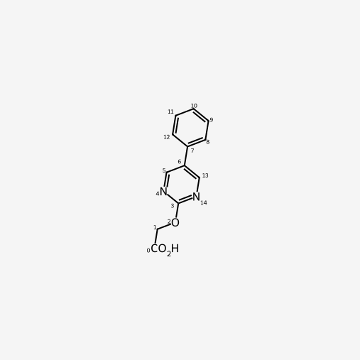 O=C(O)COc1ncc(-c2ccccc2)cn1